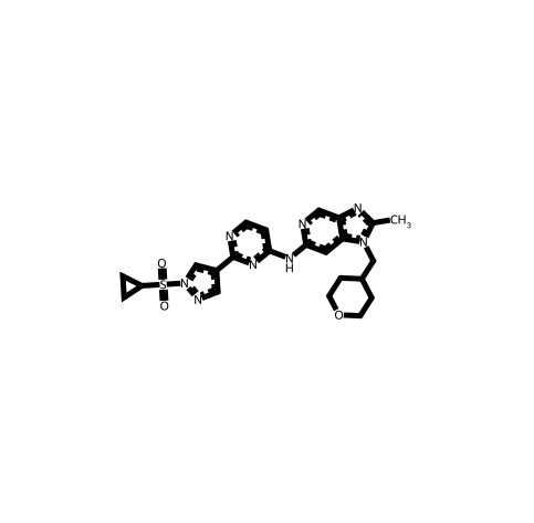 Cc1nc2cnc(Nc3ccnc(-c4cnn(S(=O)(=O)C5CC5)c4)n3)cc2n1CC1CCOCC1